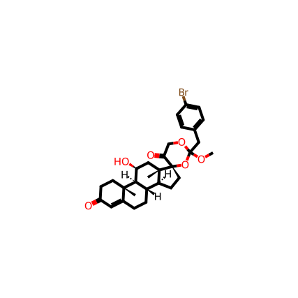 COC1(Cc2ccc(Br)cc2)OCC(=O)[C@]2(CC[C@H]3[C@@H]4CCC5=CC(=O)CC[C@]5(C)[C@H]4[C@@H](O)C[C@@]32C)O1